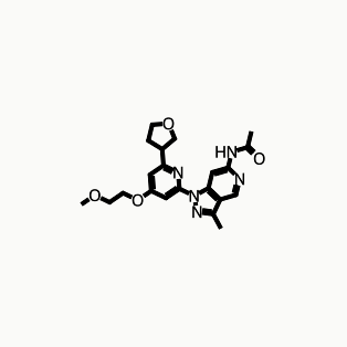 COCCOc1cc(C2CCOC2)nc(-n2nc(C)c3cnc(NC(C)=O)cc32)c1